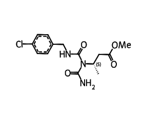 COC(=O)C[C@H](C)N(C(N)=O)C(=O)NCc1ccc(Cl)cc1